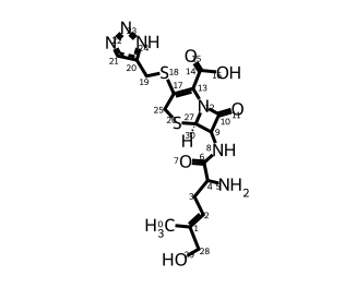 C/C(=C\CC(N)C(=O)NC1C(=O)N2C(C(=O)O)=C(SCc3cnn[nH]3)CS[C@H]12)CO